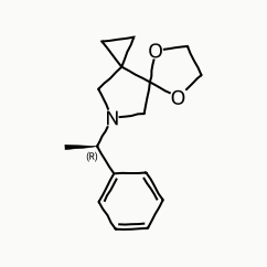 C[C@H](c1ccccc1)N1CC2(CC2)C2(C1)OCCO2